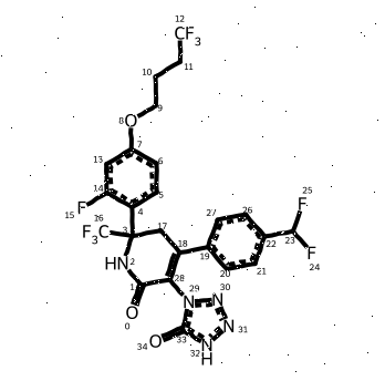 O=C1NC(c2ccc(OCCCC(F)(F)F)cc2F)(C(F)(F)F)CC(c2ccc(C(F)F)cc2)=C1n1nn[nH]c1=O